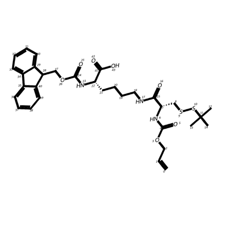 C=CCOC(=O)N[C@@H](CSSC(C)(C)C)C(=O)NCCCC[C@H](NC(=O)OCC1c2ccccc2-c2ccccc21)C(=O)O